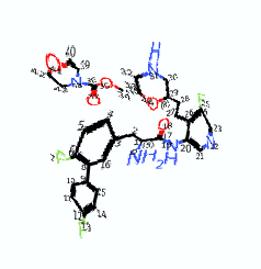 N[C@@H](Cc1ccc(F)c(-c2ccc(F)cc2)c1)C(=O)Nc1cncc(F)c1CC[C@@H]1CNC[C@@H](COC(=O)N2CCOCC2)O1